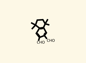 CC1(C)CCC(C)(C)c2cc(C=O)c(C=O)cc21